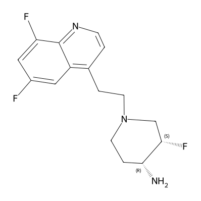 N[C@@H]1CCN(CCc2ccnc3c(F)cc(F)cc23)C[C@@H]1F